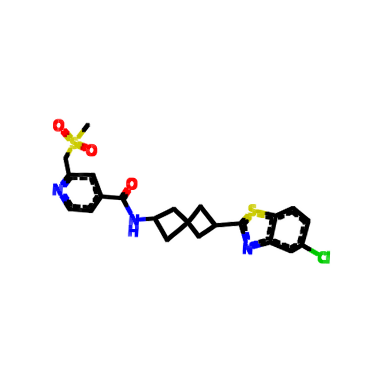 CS(=O)(=O)Cc1cc(C(=O)NC2CC3(C2)CC(c2nc4cc(Cl)ccc4s2)C3)ccn1